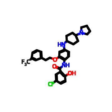 O=C(Nc1ccc(NC2CCC(N3CCCC3)CC2)cc1OCCc1cccc(C(F)(F)F)c1)c1cc(Cl)ccc1O